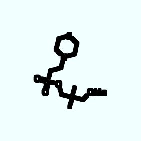 COCC(C)(C)COS(=O)(=O)CCN1CCSCC1